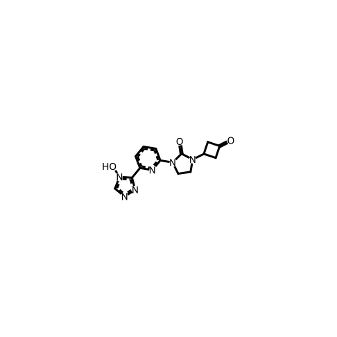 O=C1CC(N2CCN(c3cccc(-c4nncn4O)n3)C2=O)C1